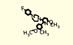 CCOc1ccc(-c2nc(OC)ccc2N2CCCN(c3ccc(F)cc3)CC2)cc1C